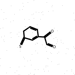 O=CC(=O)C1=CC(=S)CC=C1